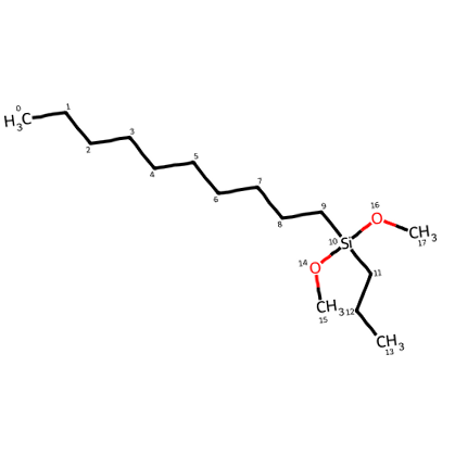 CCCCCCCCCC[Si](CCC)(OC)OC